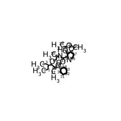 CCC(CC)C(OC(=O)[C@H](C)NC(=O)c1nccc(OC)c1OC(C)=O)[C@H](C)Oc1ccccc1